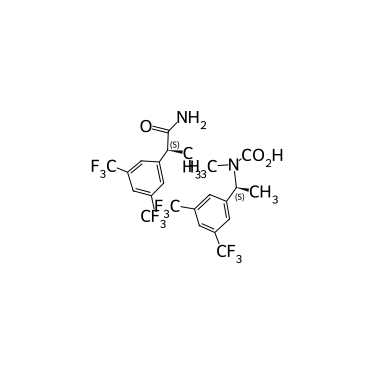 C[C@@H](c1cc(C(F)(F)F)cc(C(F)(F)F)c1)N(C)C(=O)O.C[C@H](C(N)=O)c1cc(C(F)(F)F)cc(C(F)(F)F)c1